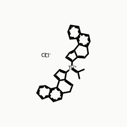 C[C](C)=[Ti+2]([C]1=CC=C2C1=CCc1ccc3ccccc3c12)[C]1=CC=C2C1=CCc1ccc3ccccc3c12.[Cl-].[Cl-]